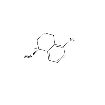 [C-]#[N+]c1cccc2c1CCC[C@@H]2NC